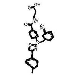 Cc1ccc(-c2csc(N(Cc3cccc(Br)c3)c3ccc(C(=O)NCCC(=O)O)cc3)n2)cc1